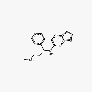 CNCC[C@@H](Oc1ccc2ccsc2c1)c1ccccc1.Cl